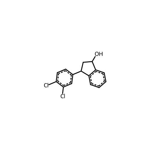 OC1CC(c2ccc(Cl)c(Cl)c2)c2ccccc21